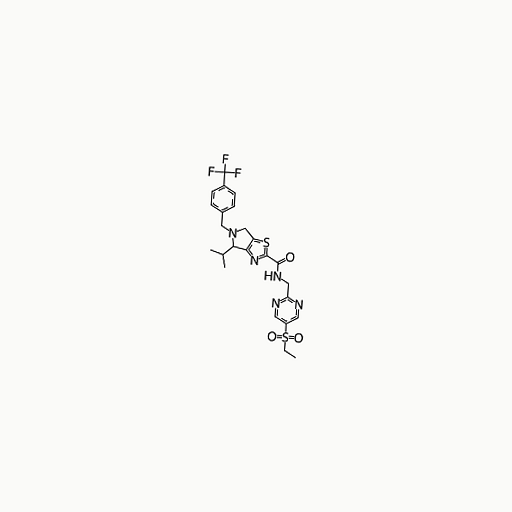 CCS(=O)(=O)c1cnc(CNC(=O)c2nc3c(s2)CN(Cc2ccc(C(F)(F)F)cc2)C3C(C)C)nc1